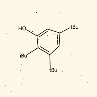 CCC(C)c1c(O)cc(C(C)(C)C)cc1C(C)(C)C